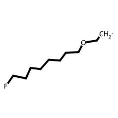 [CH2]COCCCCCCCCF